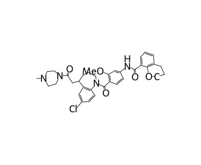 COc1cc(NC(=O)c2cccc3c2OCCC3)ccc1C(=O)N1CCCC(CC(=O)N2CCN(C)CC2)c2cc(Cl)ccc21